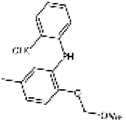 COCOc1ccc(C)cc1Pc1ccccc1C=O